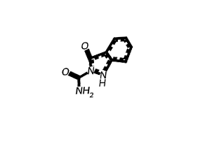 NC(=O)n1[nH]c2ccccc2c1=O